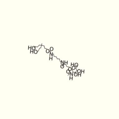 CC(=O)NC1C(OCCCC(=O)NCCCCCCNC(=O)OCCCC(C)(CCCO)CCCO)OC(CO)C(O)C1O